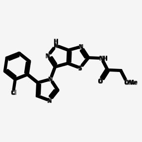 COCC(=O)Nc1nc2[nH]nc(-n3cncc3-c3ccccc3Cl)c2s1